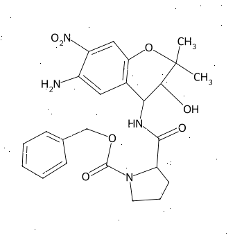 CC1(C)Oc2cc([N+](=O)[O-])c(N)cc2C(NC(=O)C2CCCN2C(=O)OCc2ccccc2)C1O